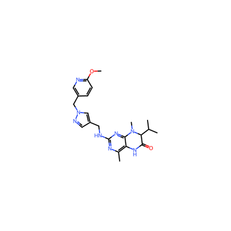 COc1ccc(Cn2cc(CNc3nc(C)c4c(n3)N(C)C(C(C)C)C(=O)N4)cn2)cn1